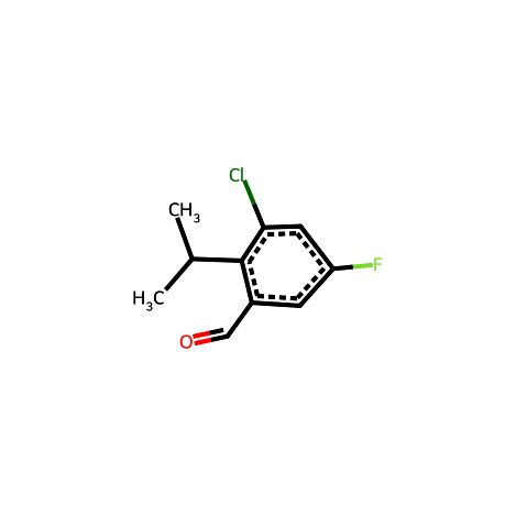 CC(C)c1c(Cl)cc(F)cc1C=O